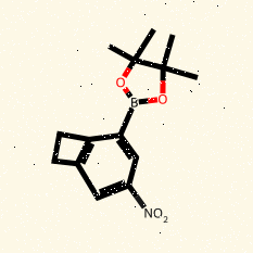 CC1(C)OB(c2cc([N+](=O)[O-])cc3c2CC3)OC1(C)C